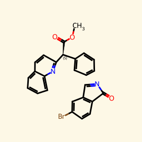 COC(=O)[C@@H](c1ccccc1)c1ccc2ccccc2n1.O=C1N=Cc2cc(Br)ccc21